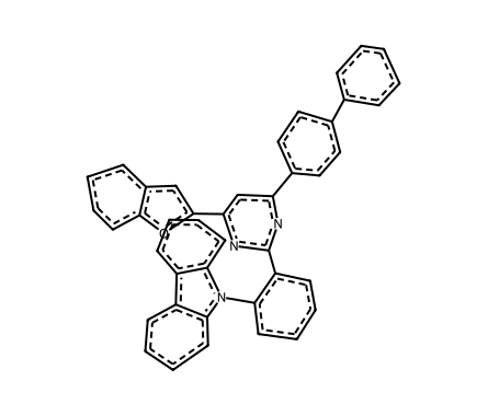 c1ccc(-c2ccc(-c3cc(-c4cc5ccccc5o4)nc(-c4ccccc4-n4c5ccccc5c5ccccc54)n3)cc2)cc1